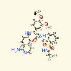 CCOc1cc(C(Nc2ccc3c(N)nccc3c2)C(=O)NCc2ccccc2S(=O)(=O)NC2CC2)ccc1OC(C)C